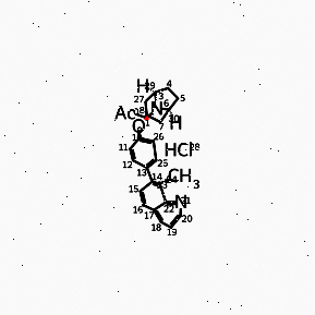 CC(=O)CN1[C@@H]2CC[C@H]1C[C@H](Oc1ccc(-c3ccc4cccnc4c3C)cc1)C2.Cl